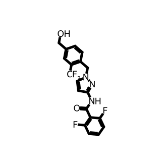 O=C(Nc1ccn(Cc2ccc(CO)cc2C(F)(F)F)n1)c1c(F)cccc1F